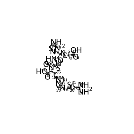 CC(C)(O/N=C(\C(=O)N[C@@H]1C(=O)N2C(C(=O)O)=C(C[n+]3ccc4n(Cc5cc(C(=N)N)cs5)ccn43)CS[C@H]12)c1nsc(N)n1)C(=O)O